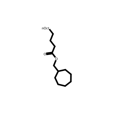 CCCCCCCCCC[CH]C(=O)OCC1CCCCCC1